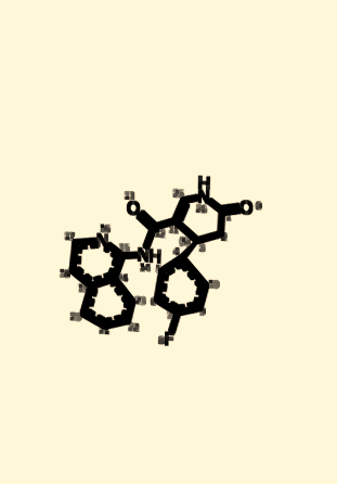 O=C1C[C@@H](c2ccc(F)cc2)C(C(=O)Nc2nccc3ccccc23)=CN1